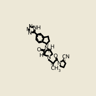 C[C@@H](CN1C[C@@H]2C[C@H]1C(=O)N2[C@H]1CCc2cc(-c3nnn[nH]3)ccc21)C(=O)N1CCC[C@H]1C#N